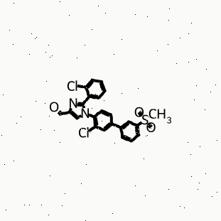 CS(=O)(=O)c1cccc(-c2ccc(-n3cc(C=O)nc3-c3ccccc3Cl)c(Cl)c2)c1